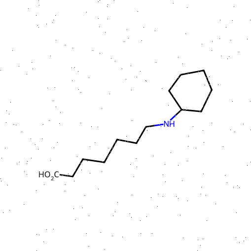 O=C(O)CCCCCCNC1CCCCC1